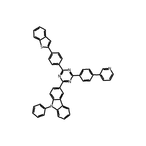 c1ccc(-n2c3ccccc3c3cc(-c4nc(-c5ccc(-c6cccnc6)cc5)nc(-c5ccc(-c6cc7ccccc7s6)cc5)n4)ccc32)cc1